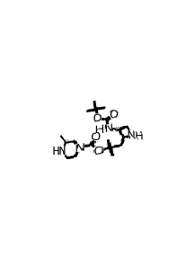 C[C@H]1CN(C(=O)OC(C)(C)CC2NC[C@@H]2NC(=O)OC(C)(C)C)CCN1